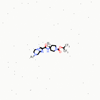 CC(=O)N1CCn2cc(C(=O)NC3(C)CCN(C(=O)OC(C(F)(F)F)C(F)(F)F)CC3)nc2C1